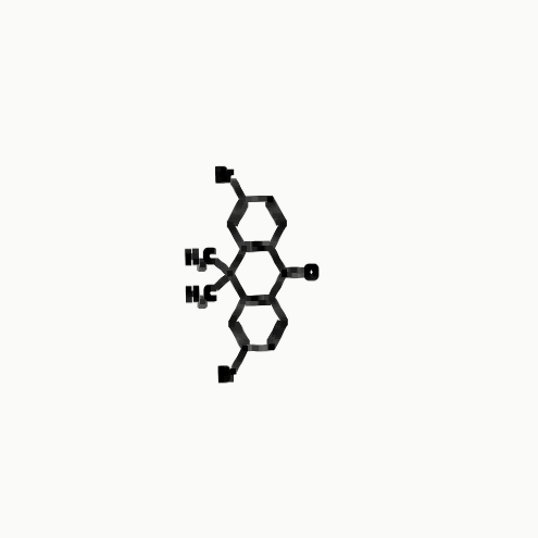 CC1(C)c2cc(Br)ccc2C(=O)c2ccc(Br)cc21